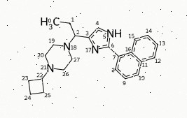 CCC(c1c[nH]c(-c2cccc3ccccc23)n1)N1CCN(C2CCC2)CC1